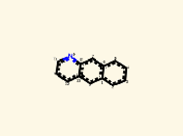 [c]1c2ccccc2cc2ncccc12